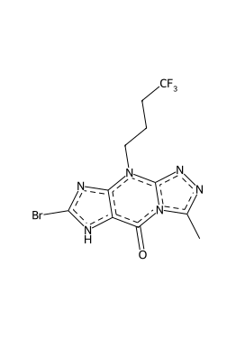 Cc1nnc2n(CCCC(F)(F)F)c3nc(Br)[nH]c3c(=O)n12